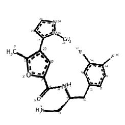 Cc1oc(C(=O)N[C@H](CN)Cc2ccc(F)c(F)c2)cc1-c1ccnn1C